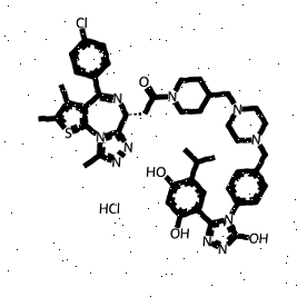 Cc1sc2c(c1C)C(c1ccc(Cl)cc1)=N[C@H](CC(=O)N1CCC(CN3CCN(Cc4ccc(-n5c(O)nnc5-c5cc(C(C)C)c(O)cc5O)cc4)CC3)CC1)c1nnc(C)n1-2.Cl